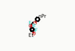 CCCC1CCC(OCC(F)(F)Oc2ccc(OCC)c(F)c2F)CC1